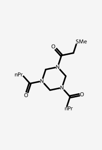 CCCC(=O)N1CN(C(=O)CCC)CN(C(=O)CSC)C1